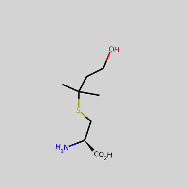 CC(C)(CCO)SC[C@H](N)C(=O)O